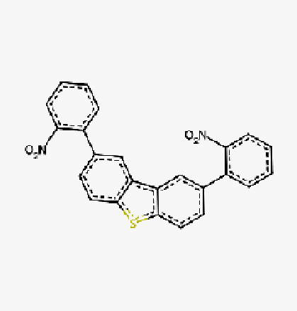 O=[N+]([O-])c1ccccc1-c1ccc2sc3ccc(-c4ccccc4[N+](=O)[O-])cc3c2c1